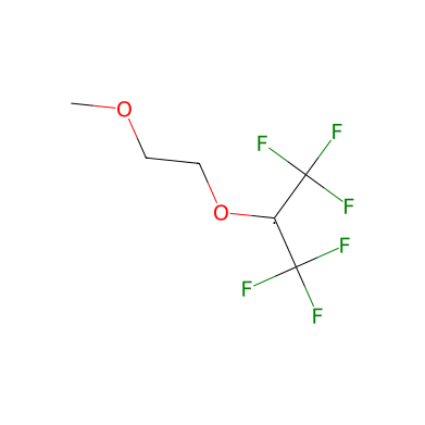 COCCO[C](C(F)(F)F)C(F)(F)F